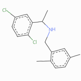 Cc1ccc(C)c(CNC(C)c2cc(Cl)ccc2Cl)c1